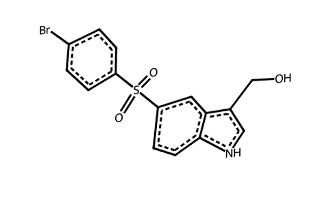 O=S(=O)(c1ccc(Br)cc1)c1ccc2[nH]cc(CO)c2c1